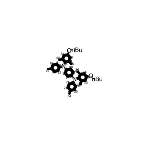 CCCCOc1cc(C)c(N(c2ccc(C)cc2)c2ccc(N(c3ccc(C)cc3)c3c(C)cc(OCCCC)cc3C)cc2)c(C)c1